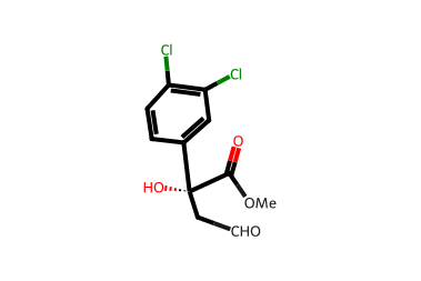 COC(=O)[C@@](O)(CC=O)c1ccc(Cl)c(Cl)c1